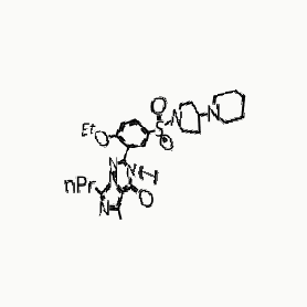 CCCc1nc(C)c2c(=O)[nH]c(-c3cc(S(=O)(=O)N4CCC(N5CCCCC5)CC4)ccc3OCC)nn12